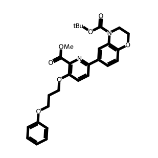 COC(=O)c1nc(-c2ccc3c(c2)N(C(=O)OC(C)(C)C)CCO3)ccc1OCCCOc1ccccc1